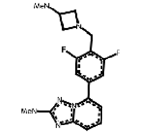 CNc1nc2cccc(-c3cc(F)c(CN4CC(NC)C4)c(F)c3)n2n1